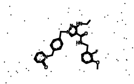 CCNc1nn(Cc2ccc(Cn3ccccc3=O)cc2)cc1C(=O)NCc1cccc(OC)c1F